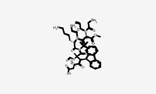 C=CCN(C(=O)CN)[C@@H](C(=O)OC)C(=O)N(C(=O)CN)[C@@H](CCCCN)C(=O)N(C(=O)C(C)(O[C]=O)C(C(=O)[C@@H](N)CC(=O)O)C1c2ccccc2-c2ccccc21)C(C)(C)C